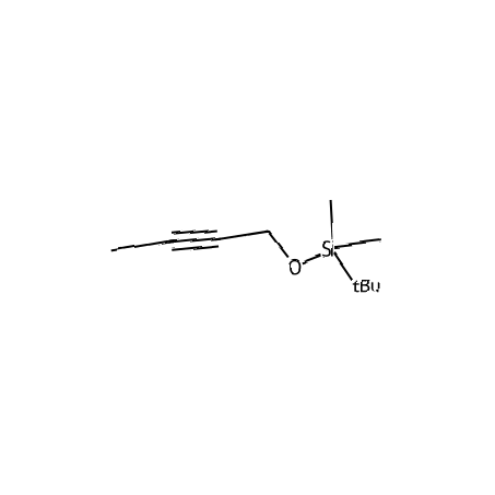 CC#CCO[Si](C)(C)C(C)(C)C